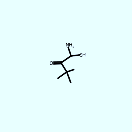 CC(C)(C)C(=O)C(N)S